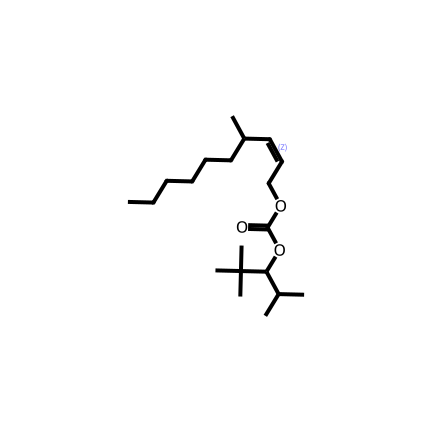 CCCCCCC(C)/C=C\COC(=O)OC(C(C)C)C(C)(C)C